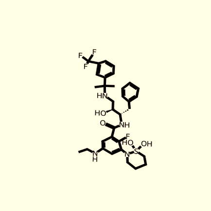 CCNc1cc(C(=O)N[C@@H](Cc2ccccc2)[C@@H](O)CNC(C)(C)c2cccc(C(F)(F)F)c2)c(F)c(N2CCCCS2(O)O)c1